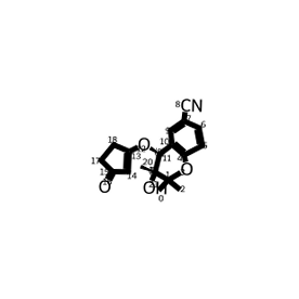 CC1(C)Oc2ccc(C#N)cc2[C@H](OC2=CC(=O)CC2)[C@@]1(C)O